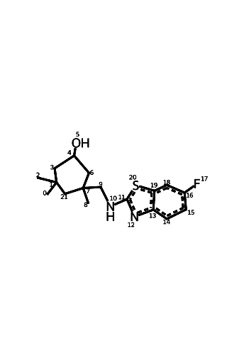 CC1(C)CC(O)CC(C)(CNc2nc3ccc(F)cc3s2)C1